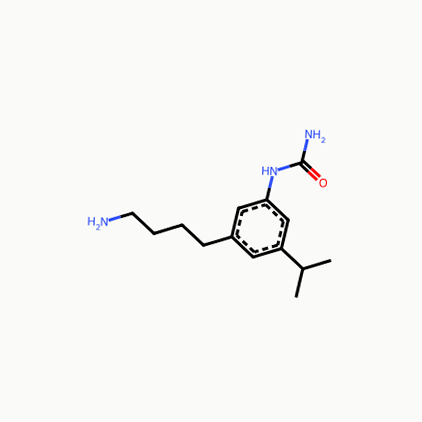 CC(C)c1cc(CCCCN)cc(NC(N)=O)c1